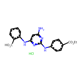 CCOC(=O)c1ccc(Nc2nc(N)cc(Nc3ccccc3C(=O)O)n2)cc1.Cl